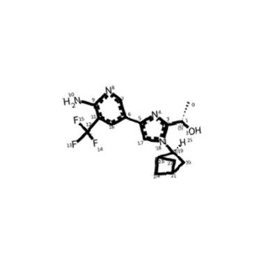 C[C@H](O)c1nc(-c2cnc(N)c(C(F)(F)F)c2)cn1[C@H]1CC2CC1C2